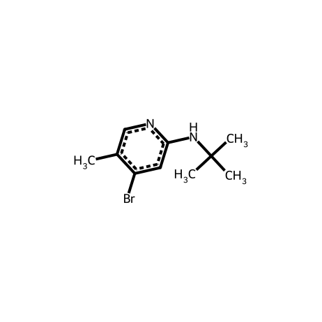 Cc1cnc(NC(C)(C)C)cc1Br